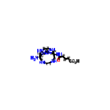 N[C@]12CNCCNC[C@](NC(=O)CCCC(=O)O)(CNCCNC1)CNCCNC2